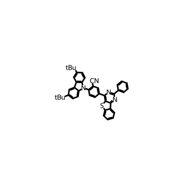 CC(C)(C)c1ccc2c(c1)c1cc(C(C)(C)C)ccc1n2-c1ccc(-c2nc(-c3ccccc3)nc3c2sc2ccccc23)cc1C#N